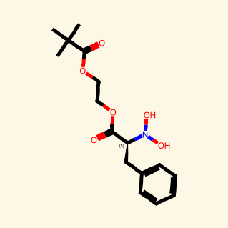 CC(C)(C)C(=O)OCCOC(=O)[C@H](Cc1ccccc1)N(O)O